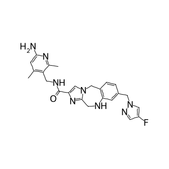 Cc1cc(N)nc(C)c1CNC(=O)c1cn2c(n1)CNc1cc(Cn3cc(F)cn3)ccc1C2